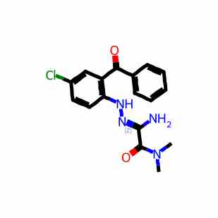 CN(C)C(=O)/C(N)=N/Nc1ccc(Cl)cc1C(=O)c1ccccc1